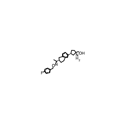 C/C(=N\OCc1ccc(F)cc1)[C@@H]1CCc2cc([C@H]3CC[C@](N)(CO)C3)ccc2C1